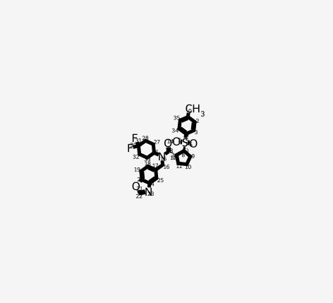 Cc1ccc(S(=O)(=O)[C@H]2CCC[C@@H]2C(=O)N(Cc2ccc3ocnc3c2)C2CCC(F)(F)CC2)cc1